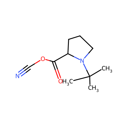 CC(C)(C)N1CCCC1C(=O)OC#N